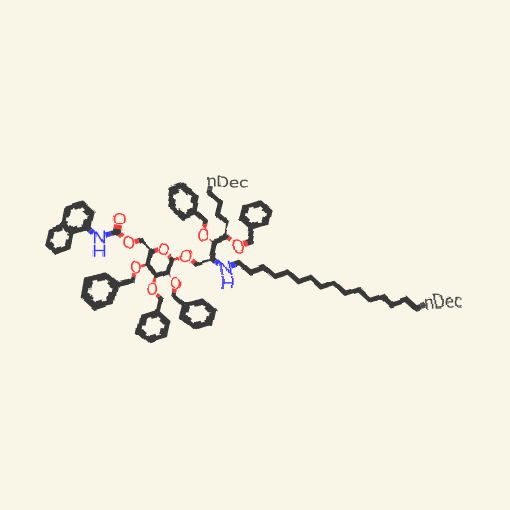 CCCCCCCCCCCCCCCCCCCCCCCCCCN[C@@H](CO[C@@H]1O[C@H](COC(=O)Nc2cccc3ccccc23)[C@H](OCc2ccccc2)[C@H](OCc2ccccc2)[C@H]1OCc1ccccc1)[C@H](OCc1ccccc1)[C@@H](CCCCCCCCCCCCCC)OCc1ccccc1